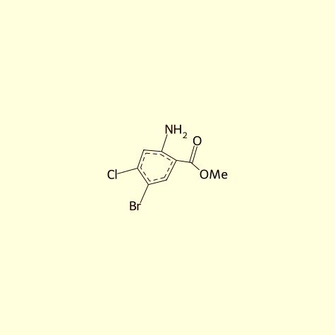 COC(=O)c1cc(Br)c(Cl)cc1N